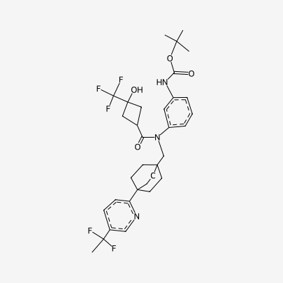 CC(C)(C)OC(=O)Nc1cccc(N(CC23CCC(c4ccc(C(C)(F)F)cn4)(CC2)CC3)C(=O)C2CC(O)(C(F)(F)F)C2)c1